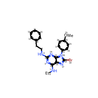 CCNc1nc(NCCc2ccccc2)nc2c1nc(Br)n2-c1ccc(OC)cc1